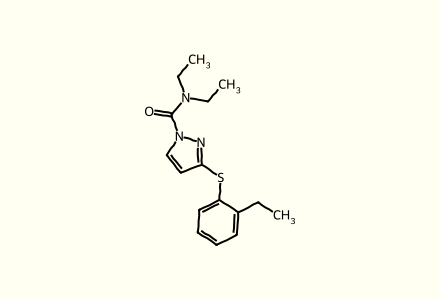 CCc1ccccc1Sc1ccn(C(=O)N(CC)CC)n1